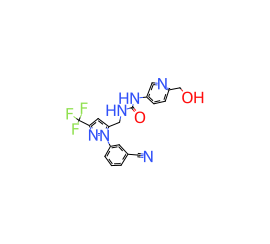 N#Cc1cccc(-n2nc(C(F)(F)F)cc2CNC(=O)Nc2ccc(CO)nc2)c1